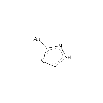 [Au][c]1nc[nH]n1